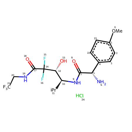 COc1ccc([C@H](N)C(=O)N[C@@H](C(C)C)[C@@H](O)C(F)(F)C(=O)NCC(F)(F)F)cc1.Cl